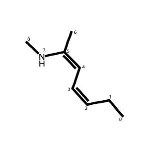 CC/C=C\C=C(\C)NC